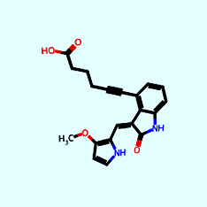 COc1cc[nH]c1C=C1C(=O)Nc2cccc(C#CCCCC(=O)O)c21